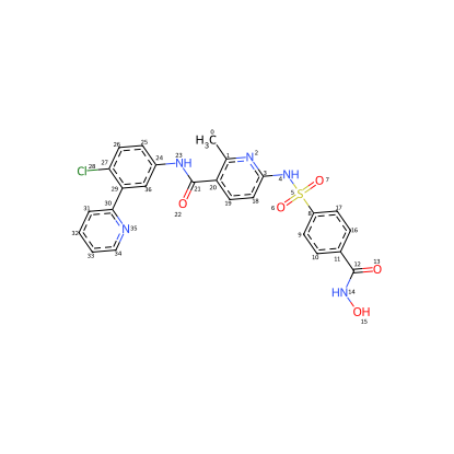 Cc1nc(NS(=O)(=O)c2ccc(C(=O)NO)cc2)ccc1C(=O)Nc1ccc(Cl)c(-c2ccccn2)c1